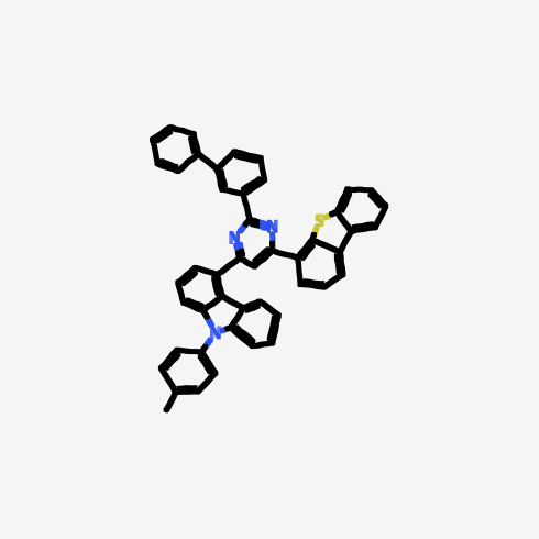 Cc1ccc(-n2c3ccccc3c3c(-c4cc(-c5cccc6c5sc5ccccc56)nc(-c5cccc(-c6ccccc6)c5)n4)cccc32)cc1